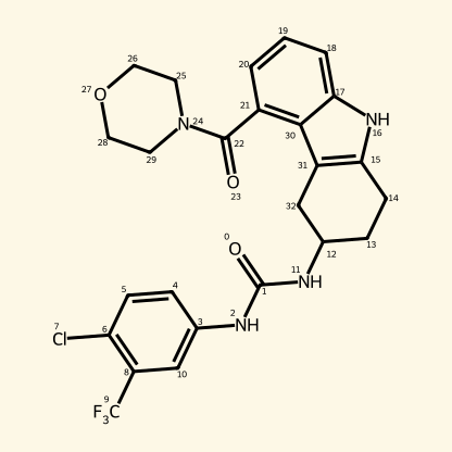 O=C(Nc1ccc(Cl)c(C(F)(F)F)c1)NC1CCc2[nH]c3cccc(C(=O)N4CCOCC4)c3c2C1